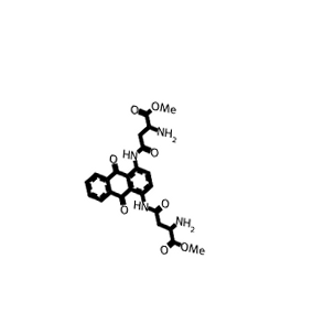 COC(=O)C(N)CC(=O)Nc1ccc(NC(=O)CC(N)C(=O)OC)c2c1C(=O)c1ccccc1C2=O